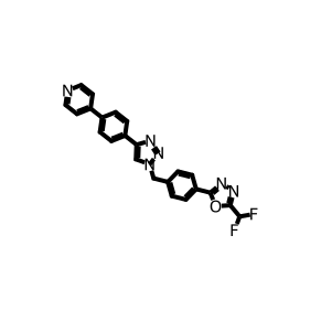 FC(F)c1nnc(-c2ccc(Cn3cc(-c4ccc(-c5ccncc5)cc4)nn3)cc2)o1